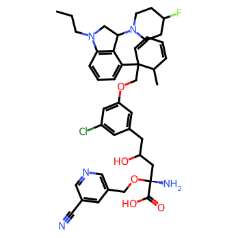 CCCN1CC(N2CCC(F)CC2)c2c1cccc2C1(COc2cc(Cl)cc(CC(O)C[C@@](N)(OCc3cncc(C#N)c3)C(=O)O)c2)C=CC=CC1C